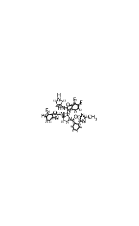 Cc1noc(-c2ccccc2C(=O)N2CC[C@@H](Nc3nc4ccc(F)c(F)c4o3)C2)n1.Fc1ccc2nc(N[C@@H]3CCNC3)oc2c1F